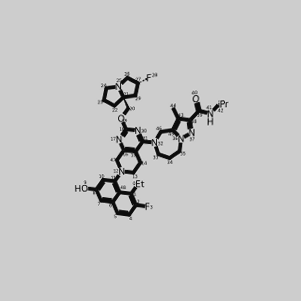 CCc1c(F)ccc2cc(O)cc(N3CCc4c(nc(OC[C@@]56CCCN5C[C@H](F)C6)nc4N4CCCn5nc(C(=O)NC(C)C)c(C)c5C4)C3)c12